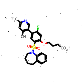 N#Cc1cc(C(F)(F)F)ncc1-c1cc(S(=O)(=O)N2CCCCc3ccccc32)c(OCCCC(=O)O)cc1Cl